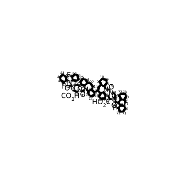 O=C(O)[C@@H]1CN(C(=O)N2c3ccccc3C=C(c3cccc4c3C=Cc3ccccc3N4C(=O)N3CCN(C(=O)N(c4ccccc4F)c4ccccc4F)C[C@H]3C(=O)O)c3ccccc32)CCN1C(=O)C(c1ccccc1F)c1ccccc1F